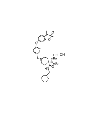 CCCCN(CCCC)C1(C(=O)NCC2CCCCC2)CCN(Cc2ccc(Oc3ccc(NS(C)(=O)=O)cc3)cc2)CC1.Cl.Cl